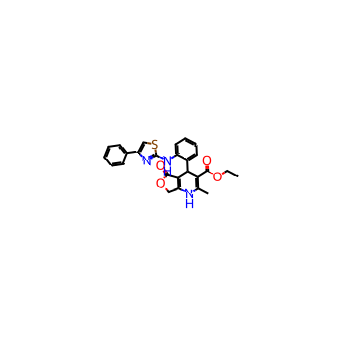 CCOC(=O)C1=C(C)NC2=C(C(=O)OC2)C1c1ccccc1Nc1nc(-c2ccccc2)cs1